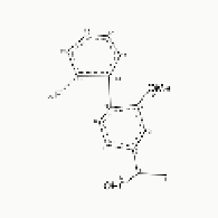 COc1cc(C(C)C=O)ccc1-c1ccccc1F